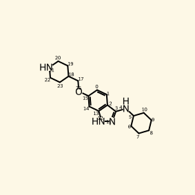 c1cc2c(NC3CCCCC3)n[nH]c2cc1OCC1CCNCC1